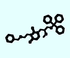 COC(COC(c1ccccc1)(c1ccccc1)c1ccccc1)Cn1ccc(=O)n(CCOCc2ccccc2)c1=O